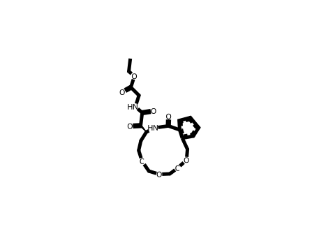 CCOC(=O)CNC(=O)C(=O)[C@@H]1CCCCOCCOCc2ccccc2C(=O)N1